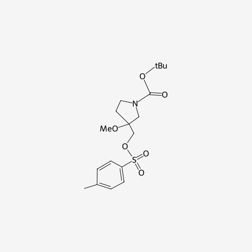 COC1(COS(=O)(=O)c2ccc(C)cc2)CCN(C(=O)OC(C)(C)C)C1